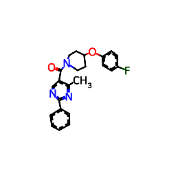 Cc1nc(-c2ccccc2)ncc1C(=O)N1CCC(Oc2ccc(F)cc2)CC1